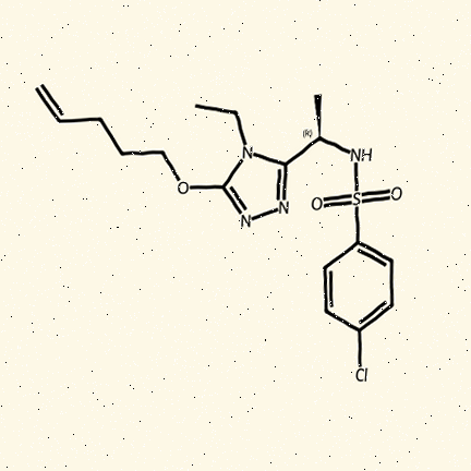 C=CCCCOc1nnc([C@@H](C)NS(=O)(=O)c2ccc(Cl)cc2)n1CC